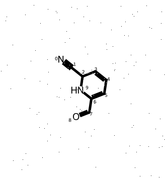 N#CC1C=CC=C(C=O)N1